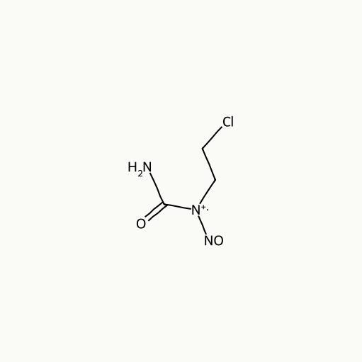 NC(=O)[N+](CCCl)N=O